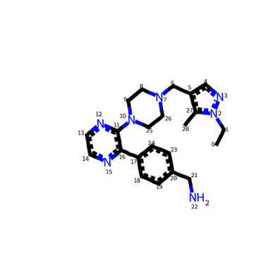 CCn1ncc(CN2CCN(c3nccnc3-c3ccc(CN)cc3)CC2)c1C